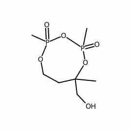 CC1(CO)CCOP(C)(=O)OP(C)(=O)O1